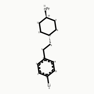 [Li][c]1ccc(CC[C@H]2CC[C@H](CCC)CC2)cc1